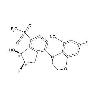 N#Cc1cc(F)cc2c1N(c1ccc(S(=O)(=O)C(F)(F)F)c3c1C[C@@H](F)[C@H]3O)CCO2